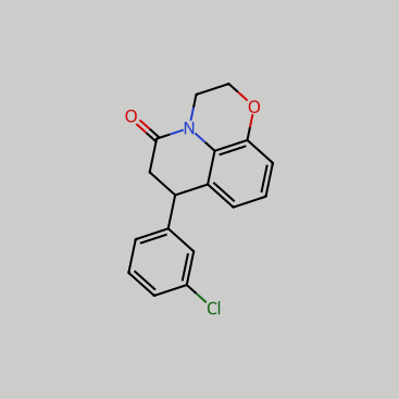 O=C1CC(c2cccc(Cl)c2)c2cccc3c2N1CCO3